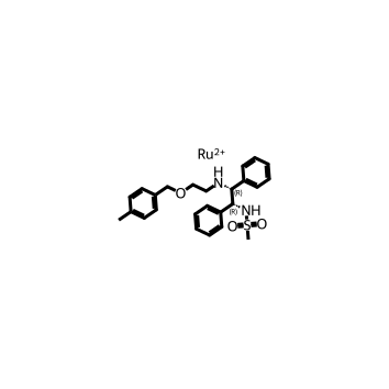 Cc1ccc(COCCN[C@H](c2ccccc2)[C@H](NS(C)(=O)=O)c2ccccc2)cc1.[Ru+2]